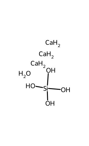 O.O[Si](O)(O)O.[CaH2].[CaH2].[CaH2]